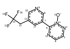 [O-][n+]1nccnc1-c1cncc(CC(F)(F)F)c1